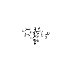 CC(=O)OCC(C)(C)C(=O)N(C1CCCCC1)[C@H]1CCNC1